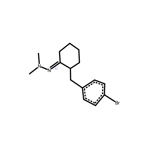 CN(C)/N=C1\CCCCC1Cc1ccc(Br)cc1